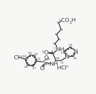 Cl.O=C(O)CCCCCNC(=O)C(Cn1ccnc1)NS(=O)(=O)c1ccc(Cl)cc1